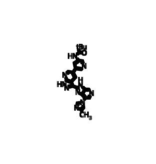 Cc1cn(-c2cncc3[nH]c(-c4n[nH]c5ncc(-c6cncc(NC(=O)C(C)(C)C)c6)cc45)nc23)cn1